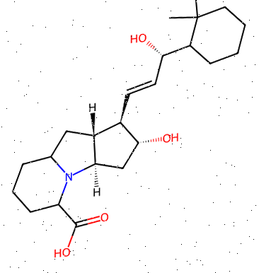 CC1(C)CCCCC1[C@@H](O)/C=C/[C@@H]1[C@H]2CC3CCCC(C(=O)O)N3[C@@H]2C[C@H]1O